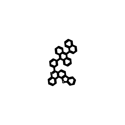 c1cc(-c2c3ccccc3c(-c3cccc4ccccc34)c3ccccc23)cc(-c2nc3ccccc3c3c2ccc2c4ccccc4oc23)c1